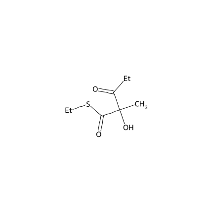 CCSC(=O)C(C)(O)C(=O)CC